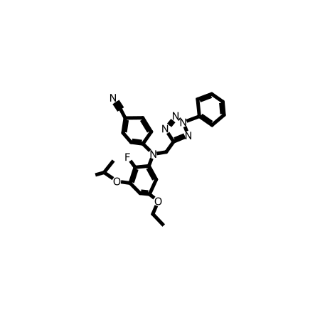 CCOc1cc(OC(C)C)c(F)c(N(Cc2nnn(-c3ccccc3)n2)c2ccc(C#N)cc2)c1